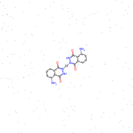 Nc1cccc2c(=O)[n]([Zn][n]3[nH]c(=O)c4c(N)cccc4c3=O)[nH]c(=O)c12